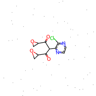 O=C(C1CO1)C(C(=O)C1CO1)c1nccnc1Cl